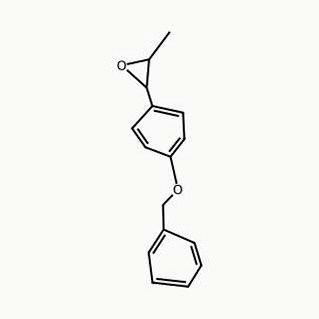 CC1OC1c1ccc(OCc2ccccc2)cc1